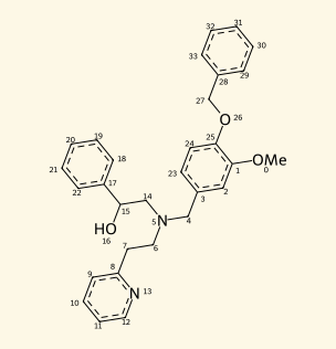 COc1cc(CN(CCc2ccccn2)CC(O)c2ccccc2)ccc1OCc1ccccc1